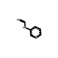 N=CNc1cccnc1